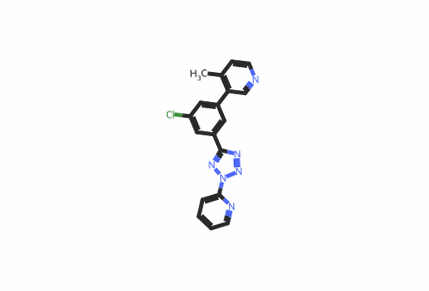 Cc1ccncc1-c1cc(Cl)cc(-c2nnn(-c3ccccn3)n2)c1